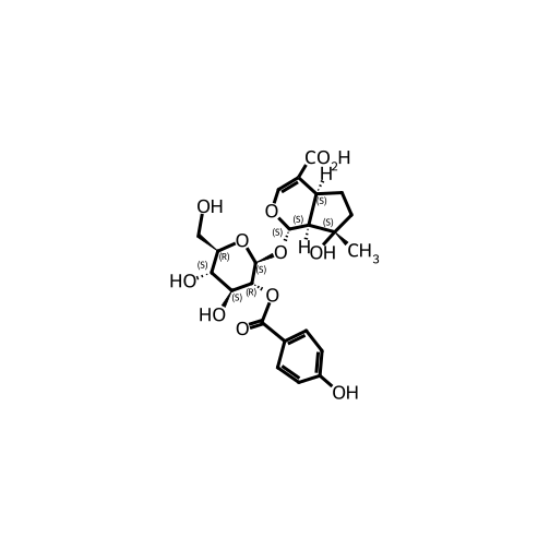 C[C@]1(O)CC[C@@H]2C(C(=O)O)=CO[C@@H](O[C@@H]3O[C@H](CO)[C@@H](O)[C@H](O)[C@H]3OC(=O)c3ccc(O)cc3)[C@@H]21